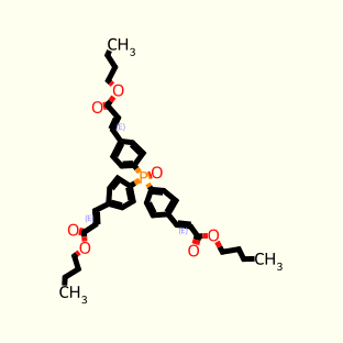 CCCCOC(=O)/C=C/c1ccc(P(=O)(c2ccc(/C=C/C(=O)OCCCC)cc2)c2ccc(/C=C/C(=O)OCCCC)cc2)cc1